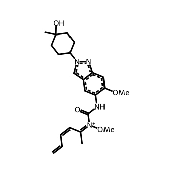 C=C/C=C\C(C)=[N+](\OC)C(=O)Nc1cc2cn(C3CCC(C)(O)CC3)nc2cc1OC